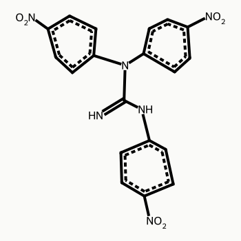 N=C(Nc1ccc([N+](=O)[O-])cc1)N(c1ccc([N+](=O)[O-])cc1)c1ccc([N+](=O)[O-])cc1